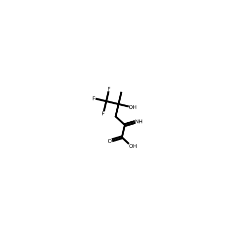 CC(O)(CC(=N)C(=O)O)C(F)(F)F